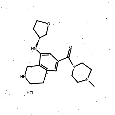 CN1CCN(C(=O)c2cc3c(c(N[C@H]4CCOC4)c2)CNCC3)CC1.Cl